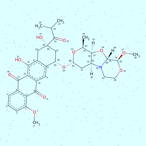 COc1cccc2c1C(=O)c1cc3c(c(O)c1C2=O)C[C@@](O)(C(=O)C(C)C)C[C@@H]3O[C@H]1C[C@H]2[C@H](O[C@@H]3[C@@H](OC)OCCN32)[C@H](C)O1